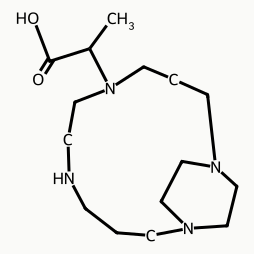 CC(C(=O)O)N1CCCN2CCN(CCCNCC1)CC2